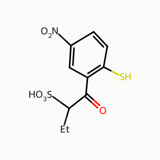 CCC(C(=O)c1cc([N+](=O)[O-])ccc1S)S(=O)(=O)O